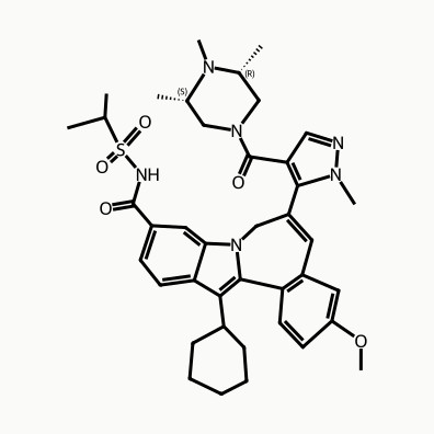 COc1ccc2c(c1)C=C(c1c(C(=O)N3C[C@@H](C)N(C)[C@@H](C)C3)cnn1C)Cn1c-2c(C2CCCCC2)c2ccc(C(=O)NS(=O)(=O)C(C)C)cc21